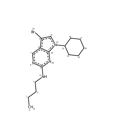 CCCCNc1ncc2c(Br)cn(C3CCCCC3)c2n1